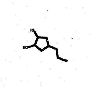 OC1CC(CCBr)CC1S